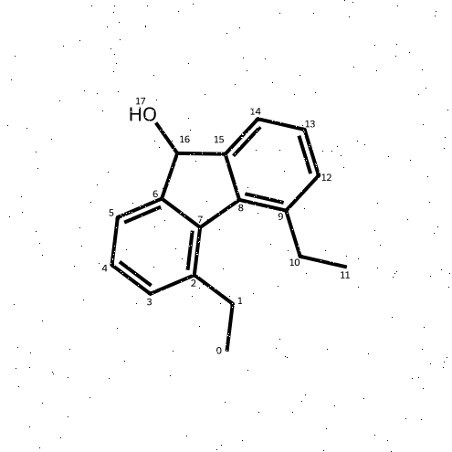 CCc1cccc2c1-c1c(CC)cccc1C2O